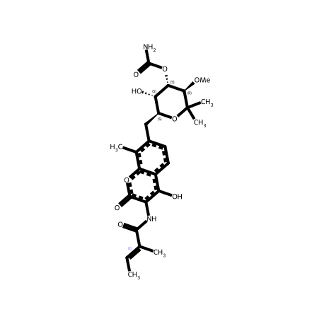 C/C=C(\C)C(=O)Nc1c(O)c2ccc(C[C@@H]3OC(C)(C)[C@H](OC)[C@@H](OC(N)=O)[C@H]3O)c(C)c2oc1=O